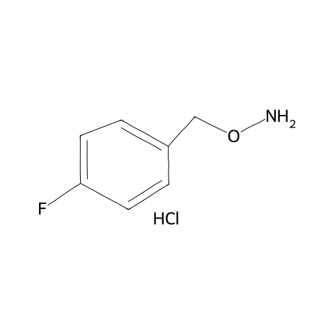 Cl.NOCc1ccc(F)cc1